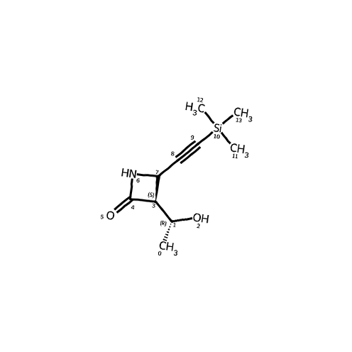 C[C@@H](O)[C@H]1C(=O)NC1C#C[Si](C)(C)C